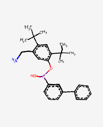 CC(C)(C)c1cc(C(C)(C)C)c(OP(O)c2cccc(-c3ccccc3)c2)cc1CN